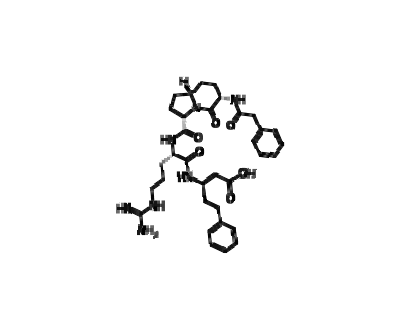 N=C(N)NCCC[C@H](NC(=O)[C@@H]1CC[C@@H]2CC[C@H](NC(=O)Cc3ccccc3)C(=O)N21)C(=O)N[C@H](CCc1ccccc1)CC(=O)O